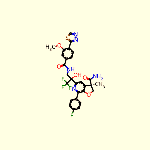 COc1cc(C(=O)NCC(O)(c2cc3c(c(-c4ccc(F)cc4)n2)OC[C@]3(C)C(N)=O)C(F)(F)F)ccc1-c1nncs1